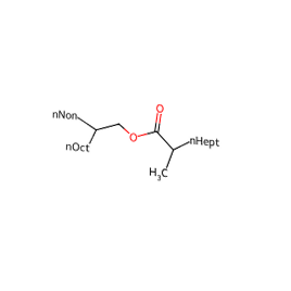 CCCCCCCCCC(CCCCCCCC)COC(=O)C(C)CCCCCCC